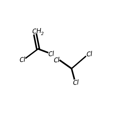 C=C(Cl)Cl.ClC(Cl)Cl